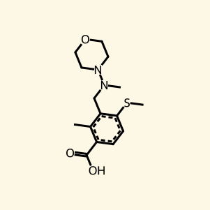 CSc1ccc(C(=O)O)c(C)c1CN(C)N1CCOCC1